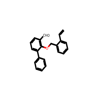 C=Cc1ccccc1COc1c(C=O)cccc1-c1ccccc1